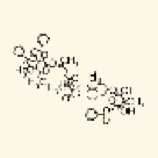 CCC1O[C@@H](OC[C@@H](C)CCC(=O)[C@@H](C)C2C(=O)CC3C4CCC5CC(O[C@@H]6OC(COC(=O)c7ccccc7)[C@H](O)[C@H](C)C6O)CCC5(C)C4CCC32C)C(OC(=O)c2ccccc2)[C@@H](OC(=O)c2ccccc2)[C@@H]1C